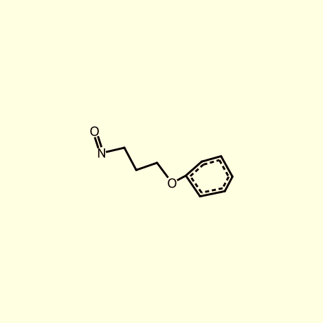 O=NCCCOc1ccccc1